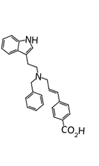 O=C(O)c1ccc(/C=C/CN(CCc2c[nH]c3ccccc23)Cc2ccccc2)cc1